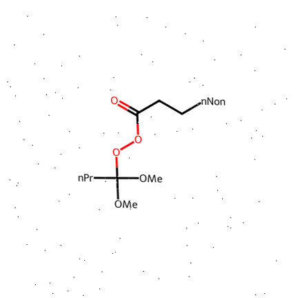 CCCCCCCCCCCC(=O)OOC(CCC)(OC)OC